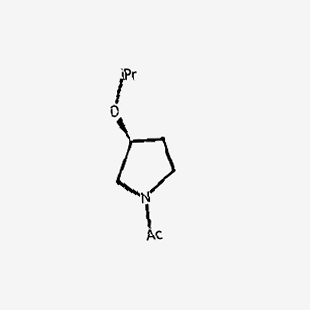 CC(=O)N1CC[C@H](OC(C)C)C1